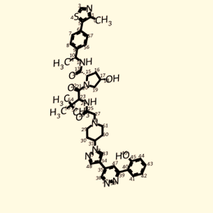 Cc1ncsc1-c1ccc([C@H](C)NC(=O)[C@@H]2C[C@@H](O)CN2C(=O)C(NC(=O)CN2CCC(n3cc(-c4cnnc(-c5ccccc5O)c4)cn3)CC2)C(C)(C)C)cc1